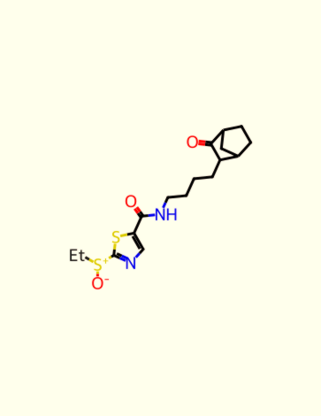 CC[S+]([O-])c1ncc(C(=O)NCCCCC2C(=O)C3CCC2C3)s1